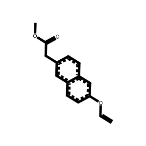 C=COc1ccc2cc(CC(=O)OC)ccc2c1